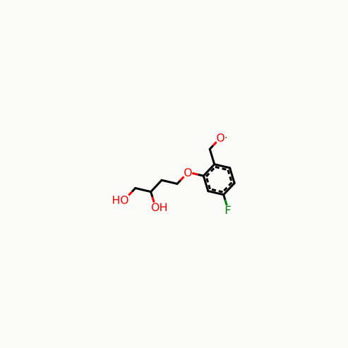 [O]Cc1ccc(F)cc1OCCC(O)CO